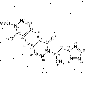 COn1nnc2cc3c(=O)n([C@H](C)Cn4ncnn4)nnc3cc2c1=O